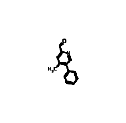 Cc1cc(C=O)ncc1-c1ccccc1